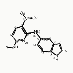 CNc1ccc([N+](=O)[O-])c(Nc2ccc3[nH]ncc3c2)n1